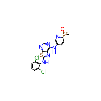 C[S+]([O-])c1ccc(Nc2ncnc3sc(Nc4c(Cl)cccc4Cl)nc23)cn1